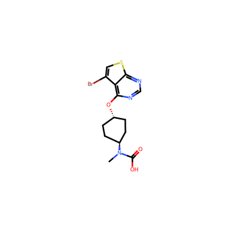 CN(C(=O)O)[C@H]1CC[C@H](Oc2ncnc3scc(Br)c23)CC1